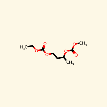 CCOC(=O)OCC[C](C)OC(=O)OC